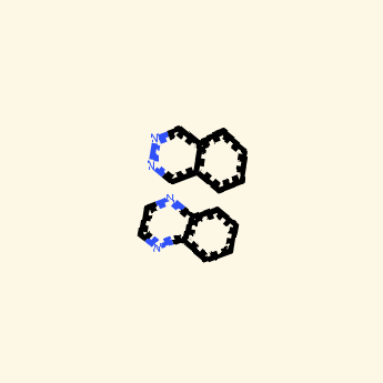 c1ccc2cnncc2c1.c1ccc2nccnc2c1